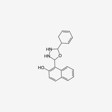 Oc1ccc2ccccc2c1C1NNC(C2C=CC=CC2)O1